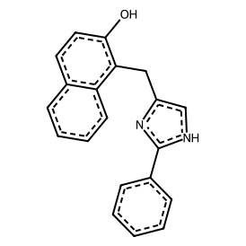 Oc1ccc2ccccc2c1Cc1c[nH]c(-c2ccccc2)n1